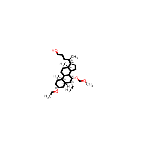 CCO[C@@H]1CC[C@]2(C)C3CC[C@@]4(C)C(CC[C@@H]4[C@H](C)CCCO)C3[C@H](OCOC)[C@H](CC)[C@@H]2C1